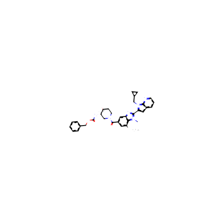 COc1cc(C(=O)N2CC[C@H](O)[C@@H](NC(=O)OCc3ccccc3)C2)cc2nc(-c3cc4cccnc4n3CC3CC3)n(C)c12